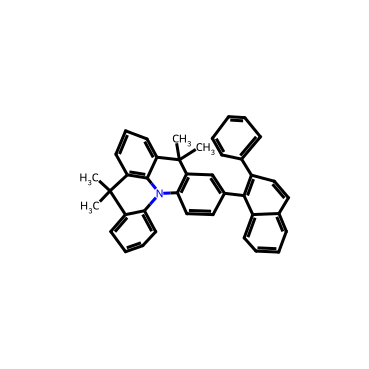 CC1(C)c2ccccc2N2c3ccc(-c4c(-c5ccccc5)ccc5ccccc45)cc3C(C)(C)c3cccc1c32